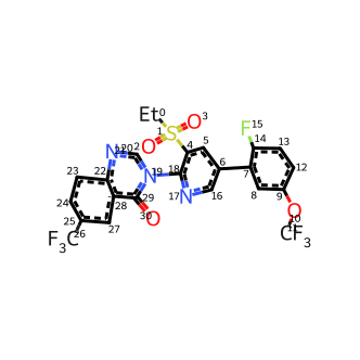 CCS(=O)(=O)c1cc(-c2cc(OC(F)(F)F)ccc2F)cnc1-n1cnc2ccc(C(F)(F)F)cc2c1=O